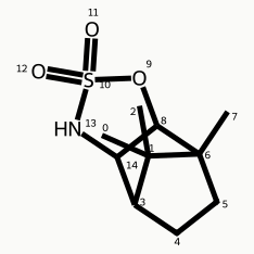 CC1(C)C2CCC1(C)C1OS(=O)(=O)NC21